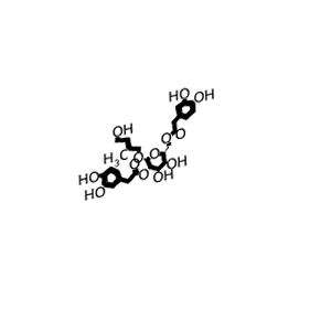 C/C(=C\CO)CO[C@@H]1O[C@H](COC(=O)Cc2ccc(O)c(O)c2)[C@@H](O)[C@H](O)[C@H]1OC(=O)Cc1ccc(O)c(O)c1